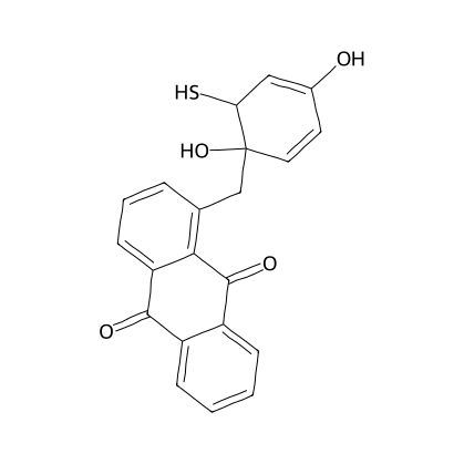 O=C1c2ccccc2C(=O)c2c(CC3(O)C=CC(O)=CC3S)cccc21